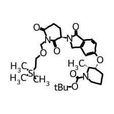 C[C@@H]1[C@H](Oc2ccc3c(c2)CN([C@@H]2CCC(=O)N(COCC[Si](C)(C)C)C2=O)C3=O)CCCN1C(=O)OC(C)(C)C